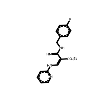 CCOC(=O)/C(=C/Nc1ccccn1)C(=N)NCc1ccc(F)cc1